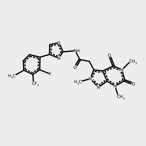 Cc1ccc(-c2csc(NC(=O)Cc3c4c(=O)n(C)c(=O)n(C)c4nn3C)n2)c(F)c1C(F)(F)F